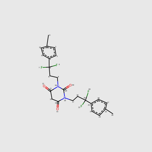 Cc1ccc(C(F)(F)CCN2C(=O)CC(=O)N(CCC(F)(F)c3ccc(C)cc3)C2=O)cc1